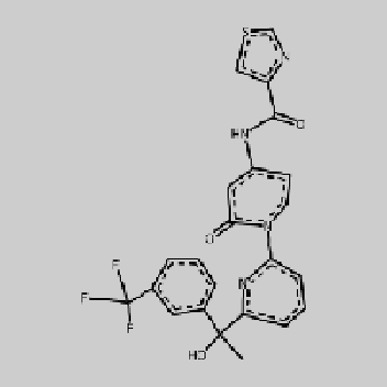 CC(O)(c1cccc(C(F)(F)F)c1)c1cccc(-n2ccc(NC(=O)c3cscn3)cc2=O)n1